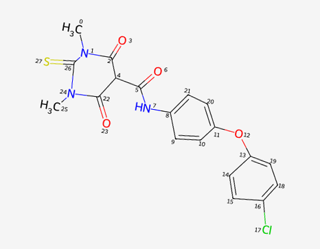 CN1C(=O)C(C(=O)Nc2ccc(Oc3ccc(Cl)cc3)cc2)C(=O)N(C)C1=S